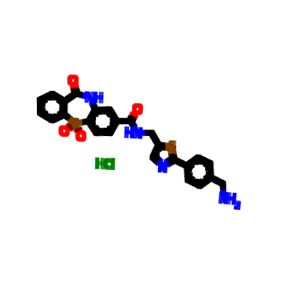 Cl.NCc1ccc(-c2ncc(CNC(=O)c3ccc4c(c3)NC(=O)c3ccccc3S4(=O)=O)s2)cc1